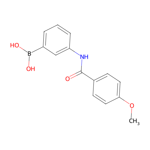 COc1ccc(C(=O)Nc2cccc(B(O)O)c2)cc1